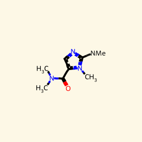 CNc1ncc(C(=O)N(C)C)n1C